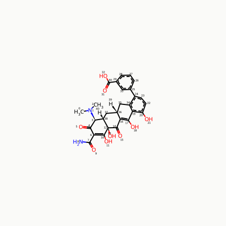 CN(C)[C@@H]1C(=O)C(C(N)=O)=C(O)[C@@]2(O)C(=O)C3=C(O)c4c(O)ccc(-c5cccc(C(=O)O)c5)c4C[C@H]3C[C@@H]12